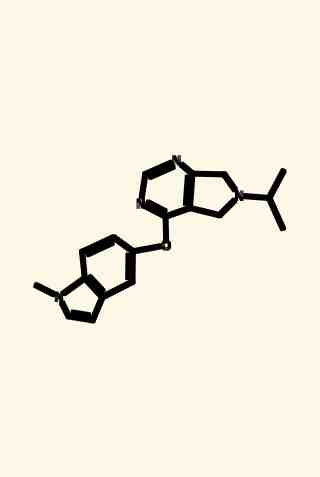 CC(C)N1Cc2ncnc(Oc3ccc4c(ccn4C)c3)c2C1